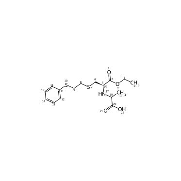 CCOC(=O)[C@H](CSCCSc1ccccc1)NC(C)C(=O)O